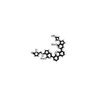 COc1nc(-c2cccc(-c3cccc(-c4cc5c(c(OC)n4)C(N4CC(O)C4)CC5)c3Cl)c2Cl)cc2c1C(NCC1CCC(=O)N1)CC2